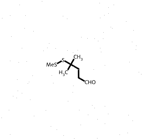 CSSC(C)(C)CCC=O